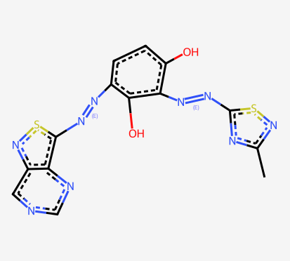 Cc1nsc(/N=N/c2c(O)ccc(/N=N/c3snc4cncnc34)c2O)n1